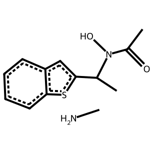 CC(=O)N(O)C(C)c1cc2ccccc2s1.CN